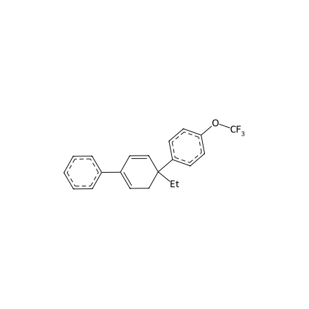 CCC1(c2ccc(OC(F)(F)F)cc2)C=CC(c2ccccc2)=CC1